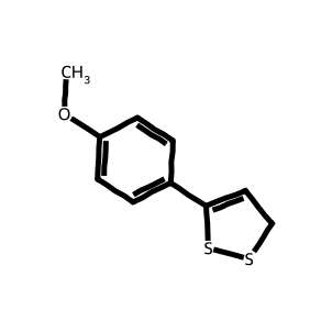 COc1ccc(C2=CCSS2)cc1